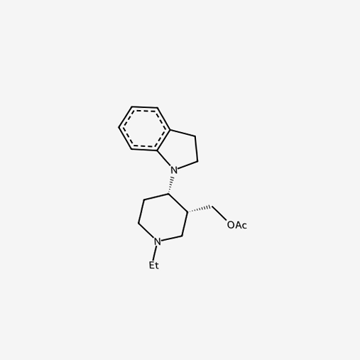 CCN1CC[C@H](N2CCc3ccccc32)[C@H](COC(C)=O)C1